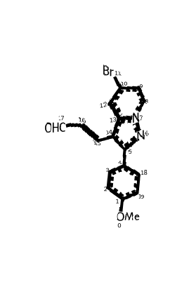 COc1ccc(-c2nn3ccc(Br)cc3c2C=CC=O)cc1